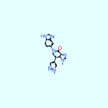 Cn1cc(-c2cn(-c3ccc4[nH]cnc4c3)c(=O)c3ncn(C)c23)cn1